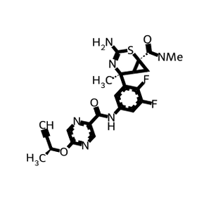 C#C[C@H](C)Oc1cnc(C(=O)Nc2cc(F)c(F)c([C@@]3(C)N=C(N)S[C@@]4(C(=O)NC)CC43)c2)cn1